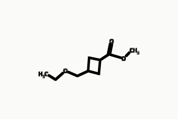 CCOCC1CC(C(=O)OC)C1